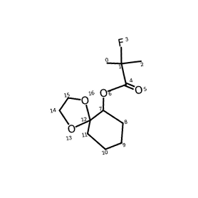 CC(C)(F)C(=O)OC1CCCCC12OCCO2